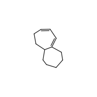 C1=CCCC2CCCCCC2=C1